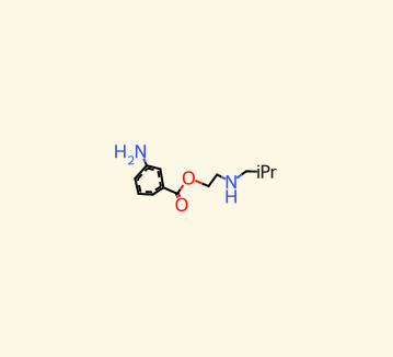 CC(C)CNCCOC(=O)c1cccc(N)c1